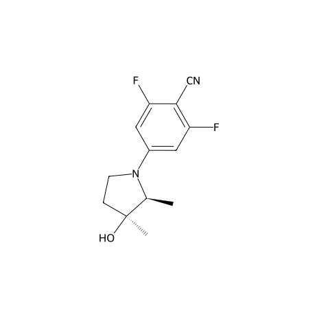 C[C@@H]1N(c2cc(F)c(C#N)c(F)c2)CC[C@]1(C)O